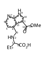 CCC(NCc1ccnc2[nH]cc(C(=O)OC)c12)C(=O)O